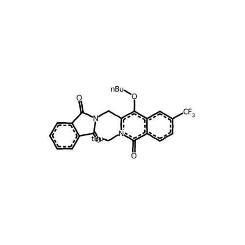 CCCCOc1c(CN2C(=O)c3ccccc3C2=O)n(CC(C)(C)C)c(=O)c2ccc(C(F)(F)F)cc12